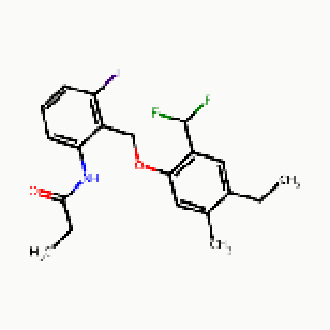 CCC(=O)Nc1cccc(I)c1COc1cc(C)c(CC)cc1C(F)F